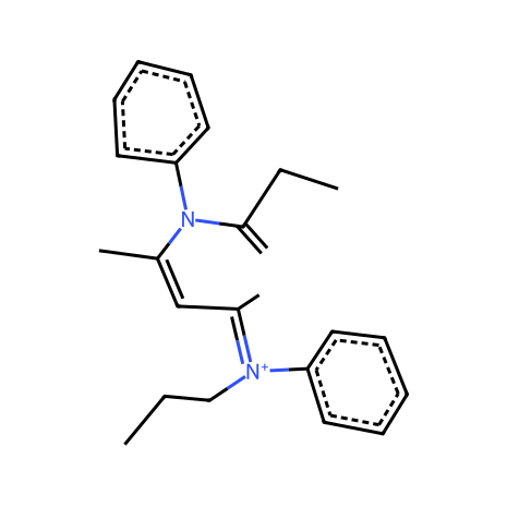 C=C(CC)N(/C(C)=C\C(C)=[N+](/CCC)c1ccccc1)c1ccccc1